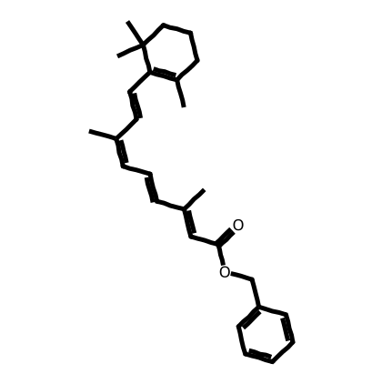 CC1=C(/C=C/C(C)=C\C=C\C(C)=C\C(=O)OCc2ccccc2)C(C)(C)CCC1